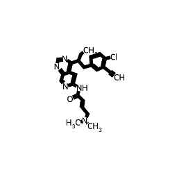 C#Cc1cc(CC(CC)c2ncnc3cnc(NC(=O)/C=C/CN(C)C)cc23)ccc1Cl